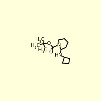 CC(C)(C)OC(=O)N1CCCCC1NC1CCC1